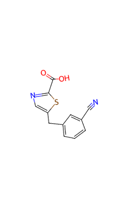 N#Cc1cccc(Cc2cnc(C(=O)O)s2)c1